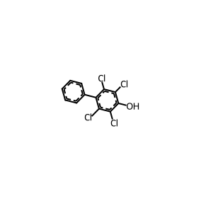 Oc1c(Cl)c(Cl)c(-c2ccccc2)c(Cl)c1Cl